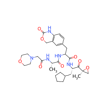 C[C@H](NC(=O)CN1CCOCC1)C(=O)NC(Cc1ccc2c(c1)COC(=O)N2)C(=O)N[C@@H](CC1CCCC1)C(=O)[C@]1(C)CO1